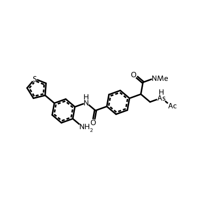 CNC(=O)C(C[AsH]C(C)=O)c1ccc(C(=O)Nc2cc(-c3ccsc3)ccc2N)cc1